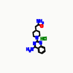 Cl.NC(=O)CC1CCN(c2nc(N)c3ccccc3n2)CC1